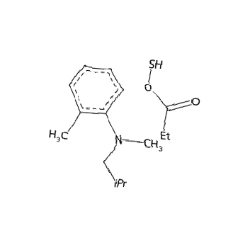 CCC(=O)OS.Cc1ccccc1N(C)CC(C)C